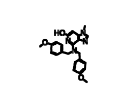 COc1ccc(CN(Cc2ccc(OC)cc2)c2nc(O)cc3c2ncn3C)cc1